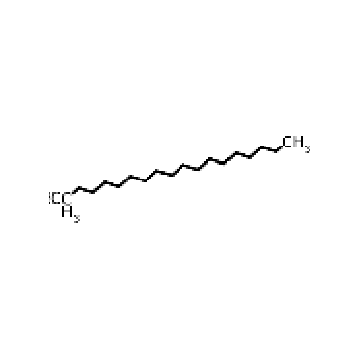 CCCCCCCCCCCCCCCCCC.[C]